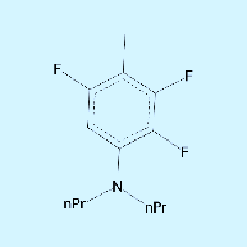 CCCN(CCC)c1cc(F)c(C)c(F)c1F